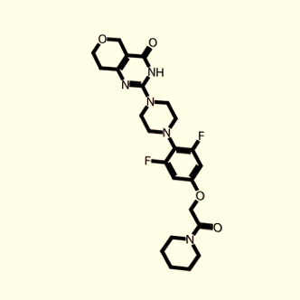 O=C(COc1cc(F)c(N2CCN(c3nc4c(c(=O)[nH]3)COCC4)CC2)c(F)c1)N1CCCCC1